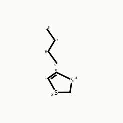 C1=CSCS1.CCCC